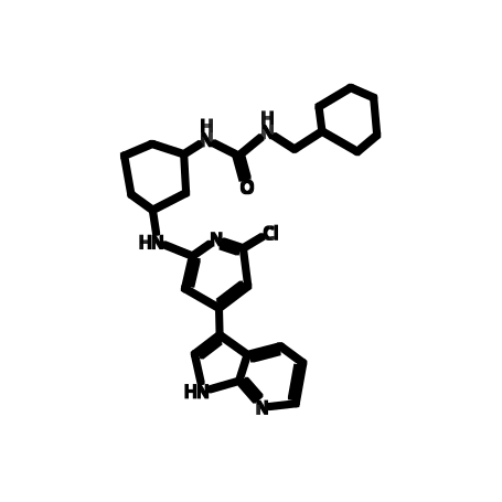 O=C(NCC1CCCCC1)NC1CCCC(Nc2cc(-c3c[nH]c4ncccc34)cc(Cl)n2)C1